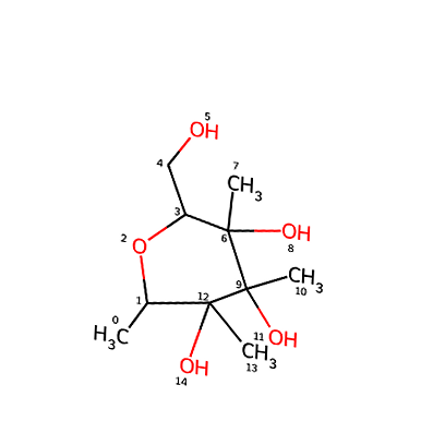 CC1OC(CO)C(C)(O)C(C)(O)C1(C)O